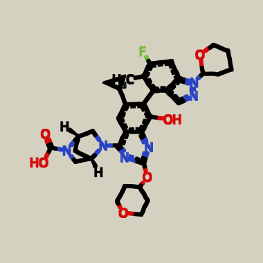 Cc1c(F)cc2c(cnn2C2CCCCO2)c1-c1c(C2CC2)cc2c(N3C[C@@H]4C[C@H]3CN4C(=O)O)nc(OC3CCOCC3)nc2c1O